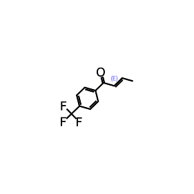 C/C=C/C(=O)c1ccc(C(F)(F)F)cc1